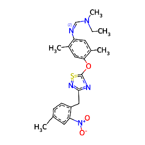 CCN(C)/C=N\c1cc(C)c(Oc2nc(Cc3ccc(C)cc3[N+](=O)[O-])ns2)cc1C